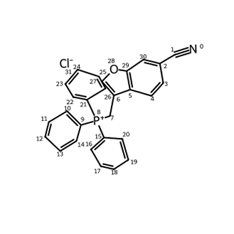 N#Cc1ccc2c(C[P+](c3ccccc3)(c3ccccc3)c3ccccc3)coc2c1.[Cl-]